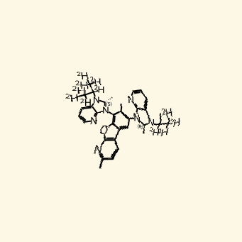 [2H]C([2H])([2H])C([2H])(C)N1c2cccnc2N(c2cc3c(oc4nc(C)ccc43)c(N3c4ncccc4N(C([2H])(C([2H])([2H])[2H])C([2H])([2H])[2H])[C@@H]3C)c2C)[C@@H]1C